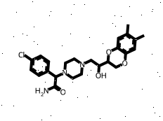 Cc1cc2c(cc1C)OC(C(O)CN1CCN(C(C(N)=O)c3ccc(Cl)cc3)CC1)CO2